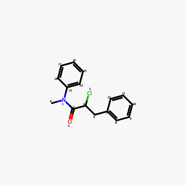 CN(C(=O)C(Cl)Cc1ccccc1)c1ccccc1